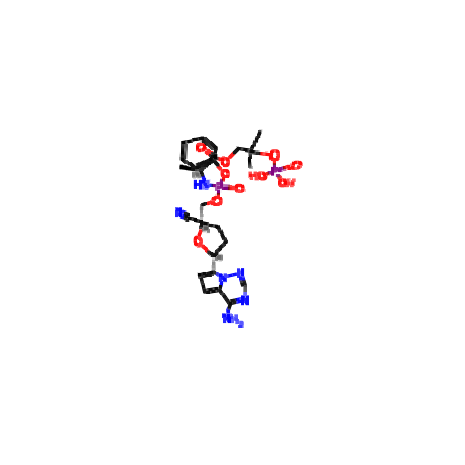 C[C@H](NP(=O)(OC[C@]1(C#N)CC[C@H](c2ccc3c(N)ncnn23)O1)Oc1ccccc1)C(=O)OCC(C)(C)OP(=O)(O)O